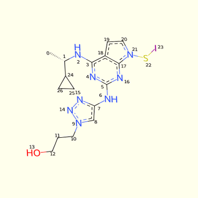 C[C@H](Nc1nc(Nc2cn(CCCO)nn2)nc2c1ccn2SI)C1CC1